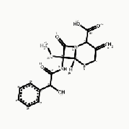 C=C1CS[C@H]2N(C(=O)C2(NC(=O)C(O)c2ccccc2)OC)C1C(=O)O